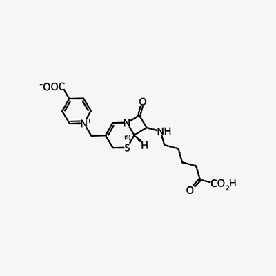 O=C(O)C(=O)CCCCNC1C(=O)N2C=C(C[n+]3ccc(C(=O)[O-])cc3)CS[C@@H]12